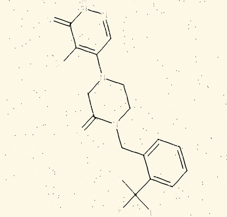 O=C1CN(c2cn[nH]c(=O)c2Br)CCN1Cc1ccccc1C(F)(F)F